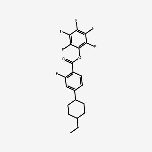 CCC1CCC(c2ccc(C(=O)Oc3c(F)c(F)c(F)c(F)c3F)c(F)c2)CC1